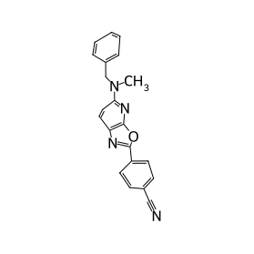 CN(Cc1ccccc1)c1ccc2nc(-c3ccc(C#N)cc3)oc2n1